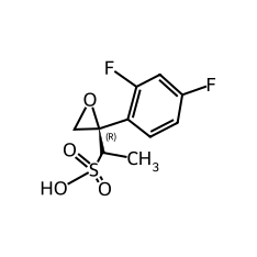 CC([C@@]1(c2ccc(F)cc2F)CO1)S(=O)(=O)O